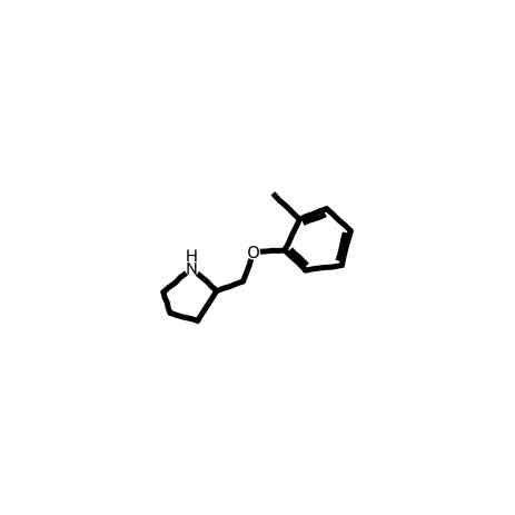 Cc1ccccc1OCC1CCCN1